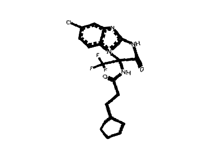 O=C(CCC1CCCC1)NC1(C(F)(F)F)C(=O)Nc2nc3cc(Cl)ccc3n21